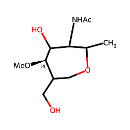 CO[C@@H]1C(CO)COC(C)C(NC(C)=O)C1O